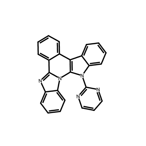 c1cnc(-n2c3ccccc3c3c4ccccc4c4nc5ccccc5n4c32)nc1